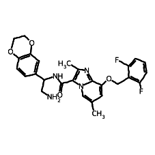 Cc1cc(OCc2c(F)cccc2F)c2nc(C)c(C(=O)NC(CN)c3ccc4c(c3)OCCO4)n2c1